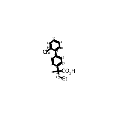 CCSC(C)(C(=O)O)c1ccc(-c2ccccc2Cl)cc1